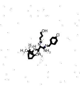 CC12CCC(C1)C(C)(C)C2NC(=O)C(/N=N/CCCO)/C(N)=N/Cc1ccc(Cl)cc1